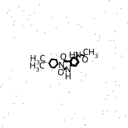 CC(=O)Nc1ccc2[nH]c(=O)n([C@H]3CC[C@@H](C(C)C)CC3)c(=O)c2c1